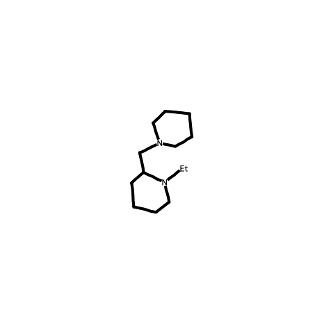 CCN1CCCCC1CN1CCCCC1